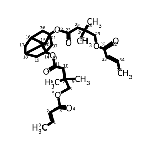 CC=CC(=O)OCC(C)(C)CC(=O)OC12CC3CC(C1)CC(OC(=O)CC(C)(C)COC(=O)C=CC)(C3)C2